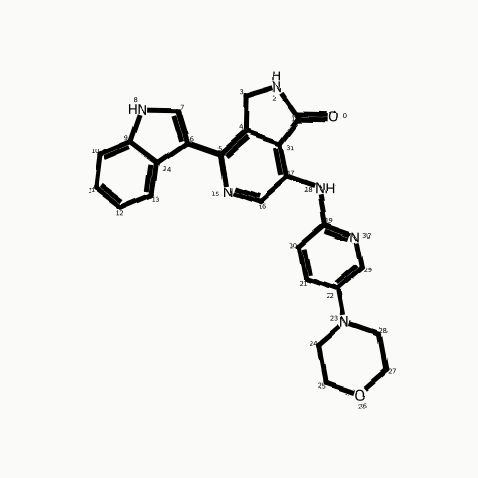 O=C1NCc2c(-c3c[nH]c4ccccc34)ncc(Nc3ccc(N4CCOCC4)cn3)c21